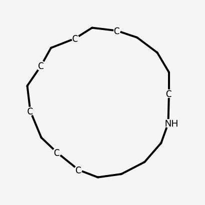 C1CCCCCCCCCNCCCCCCCC1